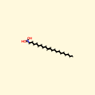 CCCCCCCCCCC=CCCCCCCCCN(O)O